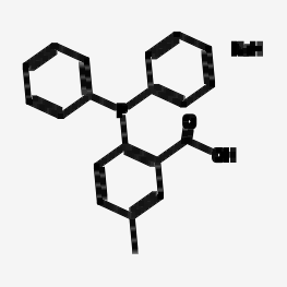 Cc1ccc(P(c2ccccc2)c2ccccc2)c(C(=O)O)c1.[NaH]